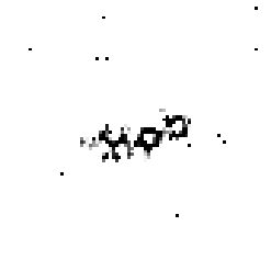 CN(C)[C@@H](C(N)=O)C(=O)Nc1ccc(N2CCOCC2=O)cc1F